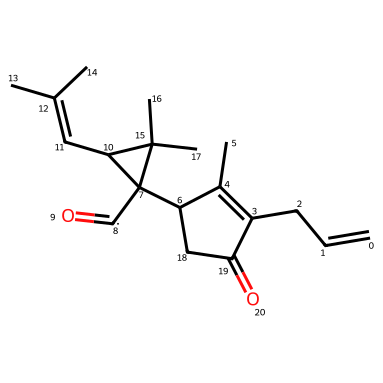 C=CCC1=C(C)C(C2([C]=O)C(C=C(C)C)C2(C)C)CC1=O